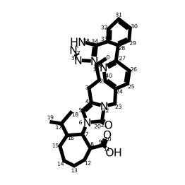 CCCCc1cn(C2C(C(=O)O)CCCCC2C(C)C)c(=O)n1Cc1ccc(-c2ccccc2-c2nnn[nH]2)nc1